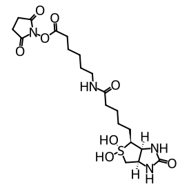 O=C(CCCC[C@H]1[C@H]2NC(=O)N[C@H]2CS1(O)O)NCCCCCC(=O)ON1C(=O)CCC1=O